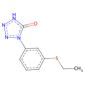 CCSc1cccc(-n2nn[nH]c2=O)c1